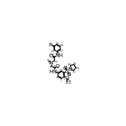 CCOc1ccc(NC(=O)CN(C)CC(=O)Nc2cccc(F)c2)cc1S(=O)(=O)N1CCCC1